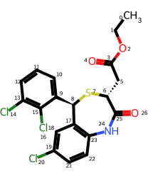 CCOC(=O)C[C@H]1S[C@H](c2cccc(Cl)c2Cl)c2cc(Cl)ccc2NC1=O